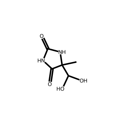 CC1(C(O)O)NC(=O)NC1=O